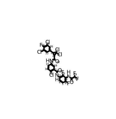 O=C(Nc1ccc(F)c(NC(=O)C(F)F)c1F)c1cc(NC(=O)C2C(c3cc(Cl)c(F)c(Cl)c3)C2(Cl)Cl)ccc1Cl